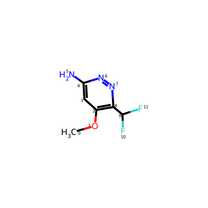 COc1cc(N)nnc1C(F)F